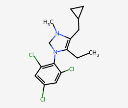 CCC1=C(CC2CC2)N(C)CN1c1c(Cl)cc(Cl)cc1Cl